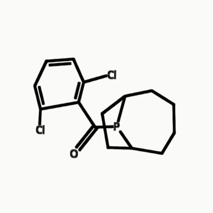 O=C(c1c(Cl)cccc1Cl)P1C2CCCCC1CC2